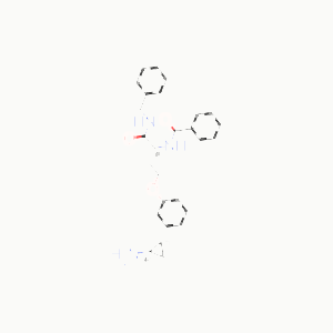 N[C@@H]1C[C@H]1c1cccc(OCC[C@@H](NC(=O)c2ccccc2)C(=O)NCc2ccccc2)c1